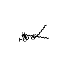 CCCCCCCCCCC(CCCCCCCC)COC(=O)CCCCCc1nccn1C(=O)O